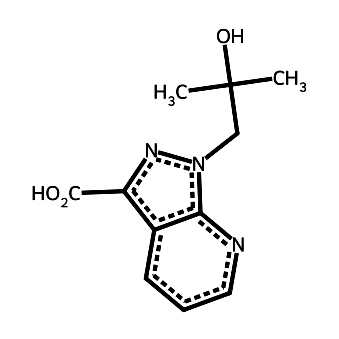 CC(C)(O)Cn1nc(C(=O)O)c2cccnc21